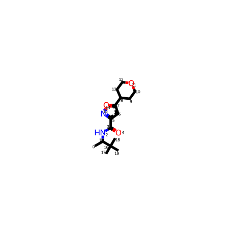 CC(NC(=O)c1cc(C2CCOCC2)on1)C(C)(C)C